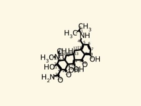 CC(C)NCc1ccc(O)c2c1C[C@@H]1C[C@@H]3C(N(C)C)C(O)=C(C(N)=O)C(=O)[C@]3(O)C(O)=C1C2=O